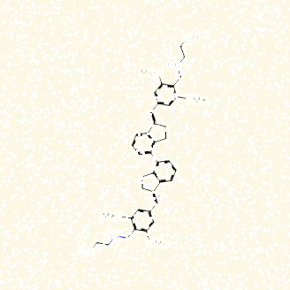 COc1cc(/C=C2\CCc3c2cccc3-c2cccc3c2CC/C3=C\c2cc(OC)c(CNCCO)c(OC)c2)cc(OC)c1CNCCO